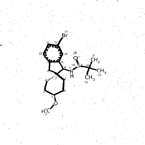 CO[C@H]1CC[C@]2(CC1)Cc1ccc(Br)cc1C2N[S+]([O-])C(C)(C)C